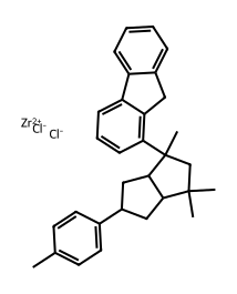 Cc1ccc(C2CC3C(C2)C(C)(c2cccc4c2Cc2ccccc2-4)CC3(C)C)cc1.[Cl-].[Cl-].[Zr+2]